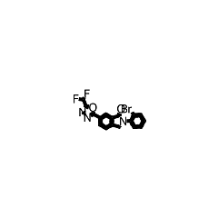 O=C1c2cc(-c3nnc(C(F)F)o3)ccc2CN1c1ccccc1Br